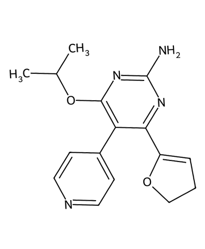 CC(C)Oc1nc(N)nc(C2=CCCO2)c1-c1ccncc1